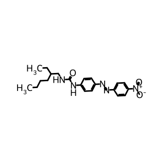 CCCCC(CC)CNC(=O)Nc1ccc(N=Nc2ccc([N+](=O)[O-])cc2)cc1